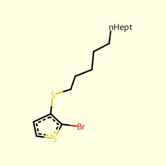 CCCCCCCCCCCCSc1ccsc1Br